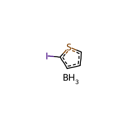 B.Ic1cccs1